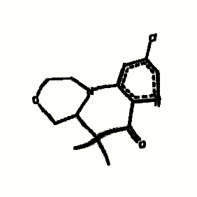 CC1(C)C(=O)c2ncc(Cl)cc2N2CCOCC21